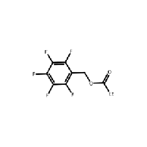 CCC(=O)OCc1c(F)c(F)c(F)c(F)c1F